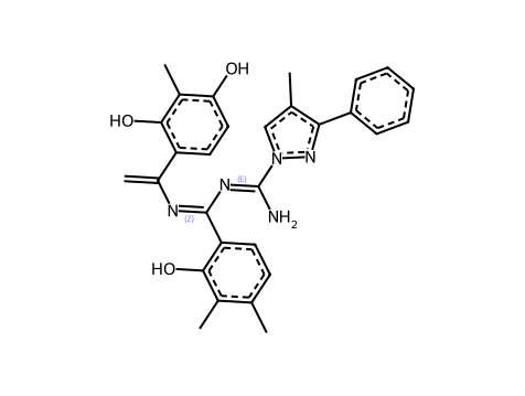 C=C(/N=C(\N=C(/N)n1cc(C)c(-c2ccccc2)n1)c1ccc(C)c(C)c1O)c1ccc(O)c(C)c1O